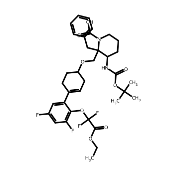 CCOC(=O)C(F)(F)Oc1c(F)cc(F)cc1C1=CCC(OCC2(Cc3ccccc3)C(NC(=O)OC(C)(C)C)CCCN2C(=O)O)CC1